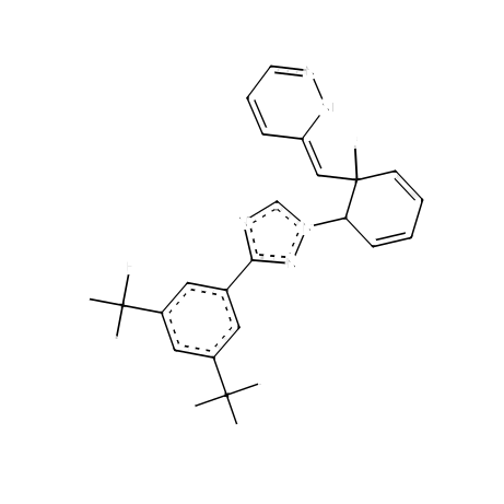 FC(F)(F)c1cc(-c2ncn(C3C=CC=CC3(Br)/C=C3/C=CC=NN3)n2)cc(C(F)(F)F)c1